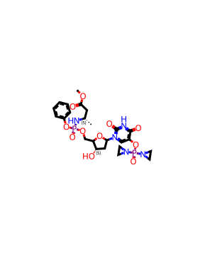 COC(=O)C[C@H](C)NP(=O)(OCC1OC(n2cc(OP(=O)(N3CC3)N3CC3)c(=O)[nH]c2=O)C[C@@H]1O)Oc1ccccc1